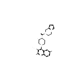 Cc1nc2ccc(Cl)cc2c(N2CC[C@H](C(=O)N3CCn4cccc4C3)[C@H](C)C2)c1C#N